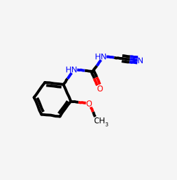 COc1ccccc1NC(=O)NC#N